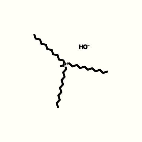 CCCCCCCCCCC[P+](C)(CCCCCCCCCCC)CCCCCCCCCCC.[OH-]